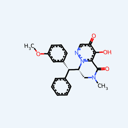 COc1cccc([C@@H](c2ccccc2)[C@H]2CN(C)C(=O)c3c(O)c(=O)cnn32)c1